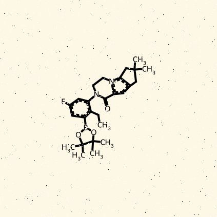 CCc1c(B2OC(C)(C)C(C)(C)O2)cc(F)cc1N1CCn2c(cc3c2CC(C)(C)C3)C1=O